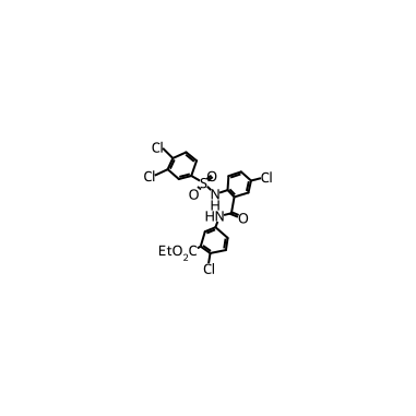 CCOC(=O)c1cc(NC(=O)c2cc(Cl)ccc2NS(=O)(=O)c2ccc(Cl)c(Cl)c2)ccc1Cl